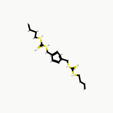 CCCCSC(=S)SCc1ccc(CSC(=S)SCCCC)cc1